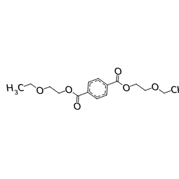 CCOCCOC(=O)c1ccc(C(=O)OCCOCC)cc1